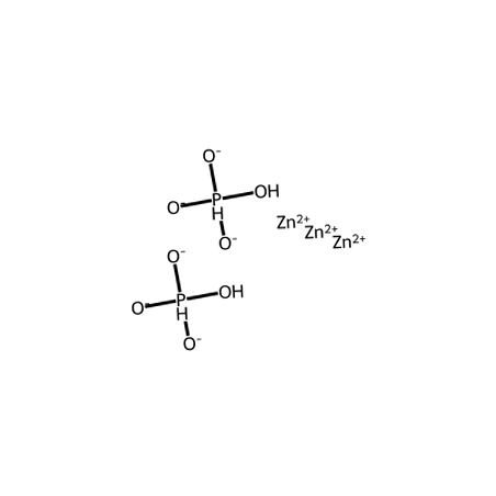 [O-][PH]([O-])([O-])O.[O-][PH]([O-])([O-])O.[Zn+2].[Zn+2].[Zn+2]